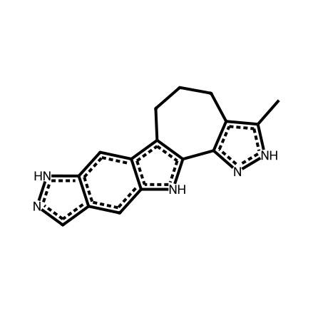 Cc1[nH]nc2c1CCCc1c-2[nH]c2cc3cn[nH]c3cc12